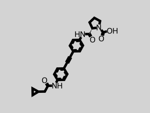 O=C(CC1CC1)Nc1ccc(C#Cc2ccc(NC(=O)[C@@H]3CCCN3C(=O)O)cc2)cc1